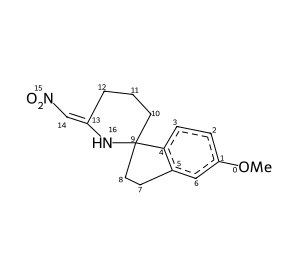 COc1ccc2c(c1)CCC21CCCC(=C[N+](=O)[O-])N1